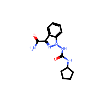 NC(=O)c1nn(NC(=O)NC2CCCC2)c2ccccc12